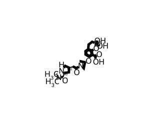 CN(C)C(=O)[C@@H]1C[C@H](CC(=O)N2CC(Oc3ccc4c(c3C(=O)O)O[B-](O)(O)CC4)C2)CN1